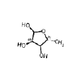 C[C@H]1OC(O)[C@H](O)C1O